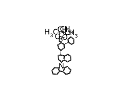 CC1(C)OB(c2ccc(-c3ccc(-n4c5ccccc5c5ccccc54)c4ccccc34)cc2-c2ccccc2)OC1(C)C